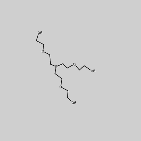 OCCOCCN(CCOCCO)CCOCCO